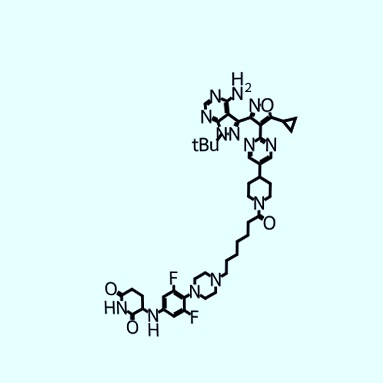 CC(C)(C)n1nc(-c2noc(C3CC3)c2-c2ncc(C3CCN(C(=O)CCCCCCN4CCN(c5c(F)cc(NC6CCC(=O)NC6=O)cc5F)CC4)CC3)cn2)c2c(N)ncnc21